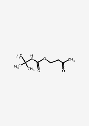 CC(=O)CCOC(=O)NC(C)(C)C